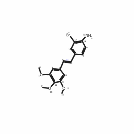 COc1cc(/C=C/c2ccc(N)c(Br)c2)cc(OC)c1OC